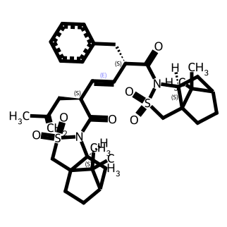 C=C(C)C[C@@H](/C=C/[C@H](Cc1ccccc1)C(=O)N1[C@H]2CC3CCC2(CS1(=O)=O)C3(C)C)C(=O)N1[C@H]2CC3CCC2(CS1(=O)=O)C3(C)C